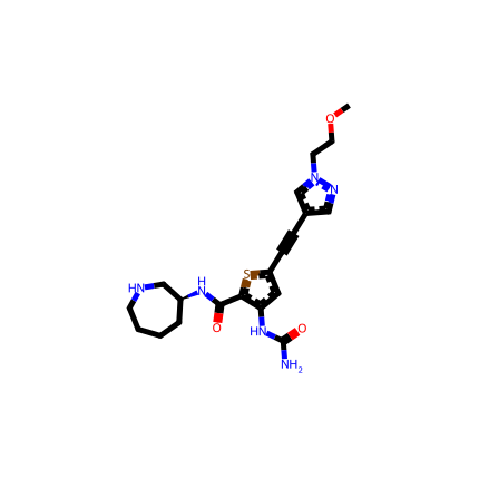 COCCn1cc(C#Cc2cc(NC(N)=O)c(C(=O)N[C@H]3CCCCNC3)s2)cn1